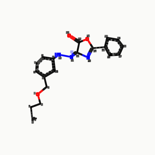 CC(C)CCOCc1cccc(N/N=C2/N=C(c3ccccc3)OC2=O)c1